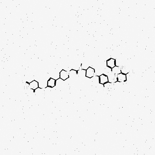 COc1cc(N2CCC(N(C)C(=O)CN3CCC(c4ccc(NC5CCC(=O)NC5=O)cc4)CC3)CC2)ccc1Nc1ncc(Cl)c(Nc2ccccc2C(C)=O)n1